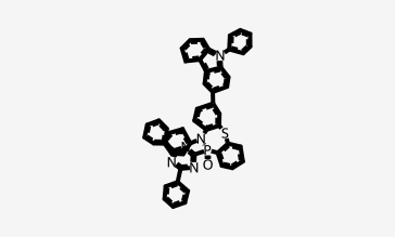 O=P1(c2nc(-c3ccccc3)nc(-c3ccccc3)n2)c2ccccc2Sc2cc(-c3ccc4c(c3)c3ccccc3n4-c3ccccc3)ccc2N1c1ccccc1